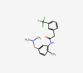 Cc1ccc(SN(C)C)cc1NC(=O)Cc1cccc(C(F)(F)F)c1